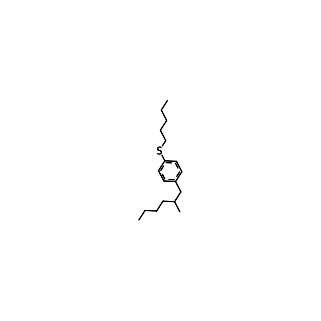 CCCCCSc1ccc(CC(C)CCCC)cc1